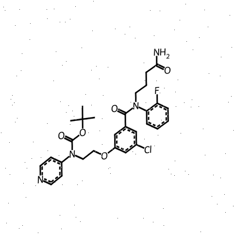 CC(C)(C)OC(=O)N(CCOc1cc(Cl)cc(C(=O)N(CCCC(N)=O)c2ccccc2F)c1)c1ccncc1